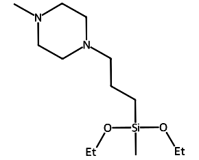 CCO[Si](C)(CCCN1CCN(C)CC1)OCC